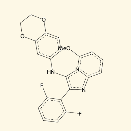 COc1cccc2nc(-c3c(F)cccc3F)c(Nc3ccc4c(c3)OCCO4)n12